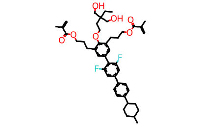 C=C(C)C(=O)OCCCc1cc(-c2c(F)cc(-c3ccc(C4CCC(C)CC4)cc3)cc2F)cc(CCCOC(=O)C(=C)C)c1OCCC(CC)(CO)CO